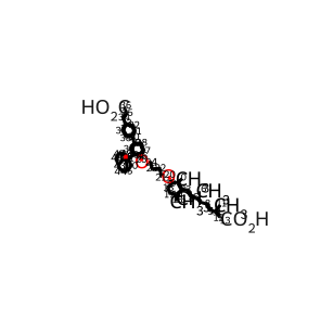 CC1=C(/C=C/C(C)=C/C=C/C(C)=C/C(=O)O)C(C)(C)CCC1OCCCCOc1ccc(-c2ccc(/C=C/C(=O)O)cc2)cc1C12CC3CC(CC(C3)C1)C2